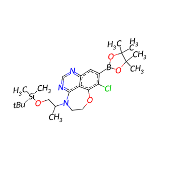 CC(CO[Si](C)(C)C(C)(C)C)N1CCOc2c(Cl)c(B3OC(C)(C)C(C)(C)O3)cc3ncnc1c23